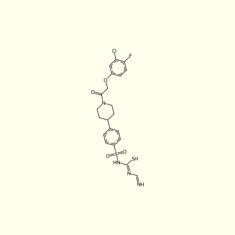 N=C/N=C(\S)NS(=O)(=O)c1ccc(C2CCN(C(=O)COc3ccc(F)c(Cl)c3)CC2)cc1